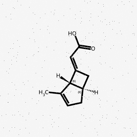 CC1=CC[C@@H]2CC(=CC(=O)O)[C@@H]12